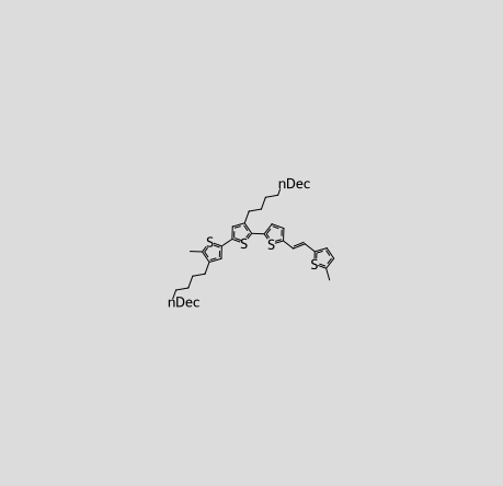 CCCCCCCCCCCCCCc1cc(-c2cc(CCCCCCCCCCCCCC)c(-c3ccc(/C=C/c4ccc(C)s4)s3)s2)sc1C